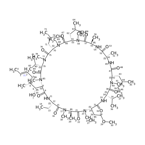 C/C=C/C[C@@H](C)[C@@H](O)[C@H]1C(=O)N[C@@H](CC)C(=O)N(C)[C@H](C)C(=O)N(C)[C@@H]([C@@H](C)COC)C(=O)N[C@@H](C(C)C)C(=O)N(C)[C@@H](CC(C)C)C(=O)N[C@@H](C)C(=O)N[C@H](C)C(=O)N(C)[C@@H](CC(C)C)C(=O)N(C)[C@@H](CC(C)C)C(=O)N(C)[C@@H](C(C)C)C(=O)N1C